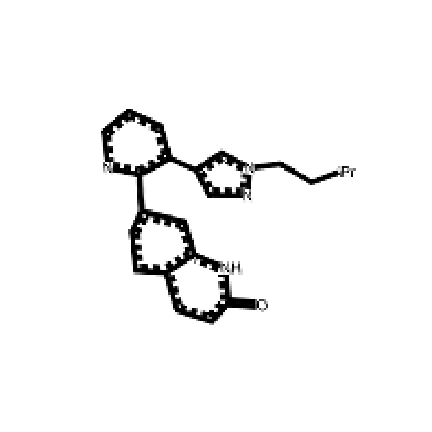 CC(C)CCn1cc(-c2cccnc2-c2ccc3ccc(=O)[nH]c3c2)cn1